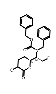 CC1CC[C@@H]([C@@H](CF)N(Cc2ccccc2)C(=O)OCc2ccccc2)OC1=O